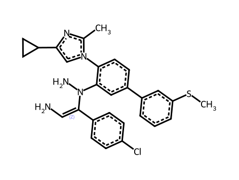 CSc1cccc(-c2ccc(-n3cc(C4CC4)nc3C)c(N(N)/C(=C\N)c3ccc(Cl)cc3)c2)c1